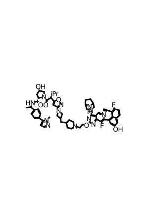 C#Cc1c(F)ccc2cc(O)cc(-c3ncc4c(N5CC6CCC(C5)N6)nc(OCCN5CCC(CC6CN(c7cc(C(C(=O)N8C[C@H](O)C[C@H]8C(=O)NC(C)c8ccc(-c9ccnn9C)cc8)C(C)C)on7)C6)CC5)nc4c3F)c12